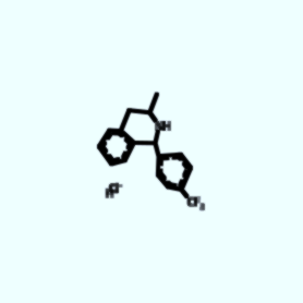 CC1Cc2ccccc2C(c2ccc(C(F)(F)F)cc2)N1.[Cl-].[H+]